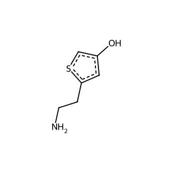 NCCc1cc(O)cs1